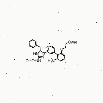 COCCOc1cccc(C)c1-c1ccnc(N2N=C(NC=O)NC2Cc2ccccc2)c1